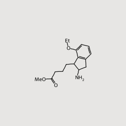 CCOc1cccc2c1C(CCCC(=O)OC)C(N)C2